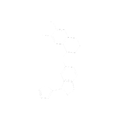 N#Cc1cc2c(cc1F)C(Oc1ccc3[nH]nc(-c4cnco4)c3c1)CCC2